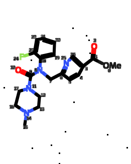 COC(=O)c1ccc(CN(C(=O)N2CCN(C)CC2)c2ccccc2F)nc1